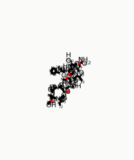 CC[C@H](C)[C@H](NC(=O)[C@@H](Cc1ccccc1)NC)C(=O)N[C@@H](CO)C(=O)N[C@H](CCC(N)=O)C(=O)N[C@@H](C(=O)N[C@H](C(=O)N[C@@H](CO)C(=O)N[C@H]1C(=O)N[C@@H](C)C(=O)NC2(CC2CCO)C(=O)N[C@@H]([C@@H](C)CC)C(=O)O[C@H]1C)[C@@H](C)CC)[C@@H](C)CC